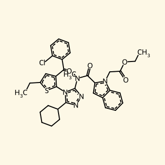 CCOC(=O)Cn1c(C(=O)N(C)c2nnc(C3CCCCC3)n2-c2sc(CC)cc2C(=O)c2ccccc2Cl)cc2ccccc21